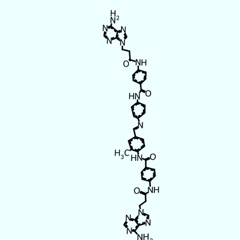 Cc1cc(/C=N/c2ccc(NC(=O)c3ccc(NC(=O)CCn4cnc5c(N)ncnc54)cc3)cc2)ccc1NC(=O)c1ccc(NC(=O)CCn2cnc3c(N)ncnc32)cc1